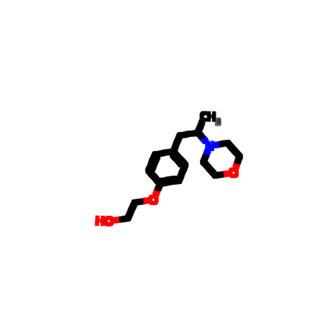 CC(Cc1ccc(OCCO)cc1)N1CCOCC1